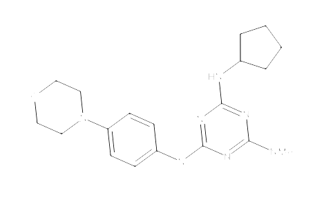 CNc1nc(Nc2ccc(N3CCOCC3)cc2)nc(NC2CCCC2)n1